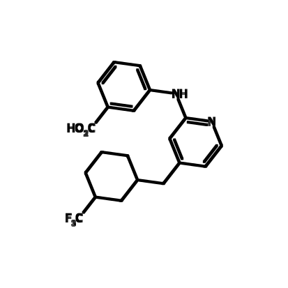 O=C(O)c1cccc(Nc2cc(CC3CCCC(C(F)(F)F)C3)ccn2)c1